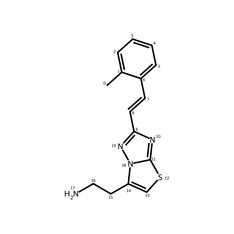 Cc1ccccc1/C=C/c1nc2scc(CCN)n2n1